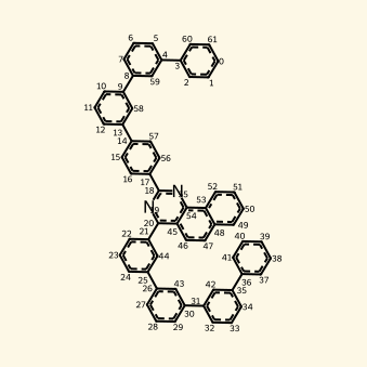 c1ccc(-c2cccc(-c3cccc(-c4ccc(-c5nc(-c6cccc(-c7cccc(-c8cccc(-c9ccccc9)c8)c7)c6)c6ccc7ccccc7c6n5)cc4)c3)c2)cc1